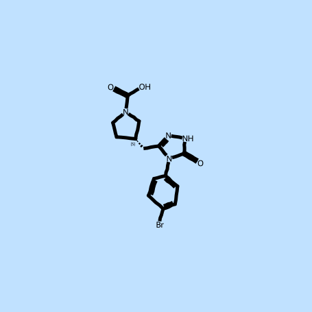 O=C(O)N1CC[C@@H](Cc2n[nH]c(=O)n2-c2ccc(Br)cc2)C1